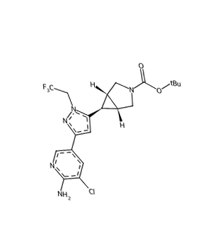 CC(C)(C)OC(=O)N1C[C@@H]2[C@H](C1)[C@H]2c1cc(-c2cnc(N)c(Cl)c2)nn1CC(F)(F)F